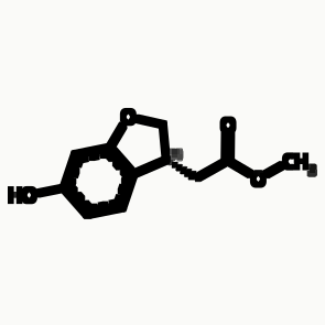 COC(=O)C[C@H]1COc2cc(O)ccc21